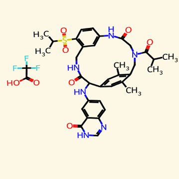 Cc1cc2cc(C)c1CN(C(=O)C(C)C)CC(=O)Nc1ccc(S(=O)(=O)C(C)C)c(c1)CNC(=O)C2Nc1ccc2nc[nH]c(=O)c2c1.O=C(O)C(F)(F)F